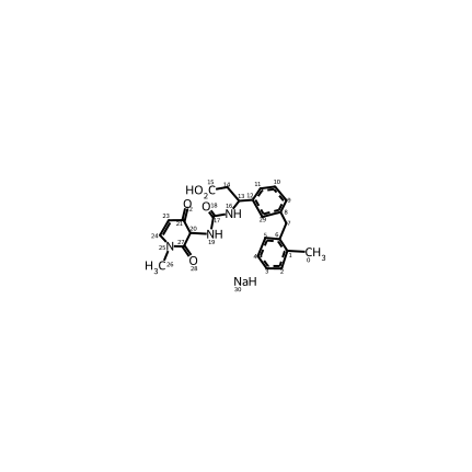 Cc1ccccc1Cc1cccc(C(CC(=O)O)NC(=O)NC2C(=O)C=CN(C)C2=O)c1.[NaH]